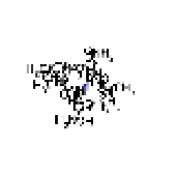 CCc1nc(C)sc1C(=O)Nc1nc2cc(C(N)=O)cc(OCCCN3CCN(C(C)C)CC3)c2n1C/C=C/Cn1c(NC(=O)c2cc(C)nn2CC)nc2cc(C(N)O)cc(OC)c21